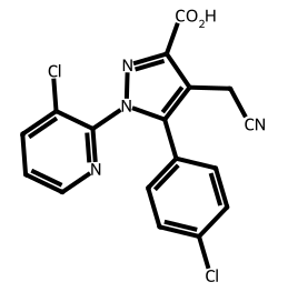 N#CCc1c(C(=O)O)nn(-c2ncccc2Cl)c1-c1ccc(Cl)cc1